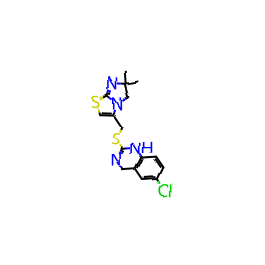 CC1(C)CN2C(CSC3=NCc4cc(Cl)ccc4N3)=CSC2=N1